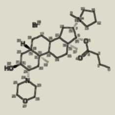 CCCC(=O)O[C@H]1[C@@H]([N+]2(C)CCCC2)CC2C3CC[C@H]4C[C@H](O)[C@@H](N5CCOCC5)C[C@]4(C)C3CC[C@@]21C.[Br-]